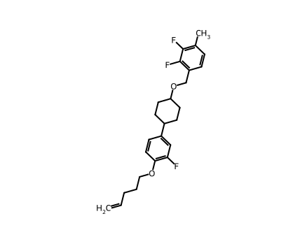 C=CCCCOc1ccc(C2CCC(OCc3ccc(C)c(F)c3F)CC2)cc1F